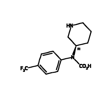 O=C(O)N(c1ccc(C(F)(F)F)cc1)[C@@H]1CCCNC1